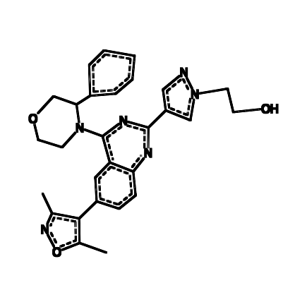 Cc1noc(C)c1-c1ccc2nc(-c3cnn(CCO)c3)nc(N3CCOCC3c3ccccc3)c2c1